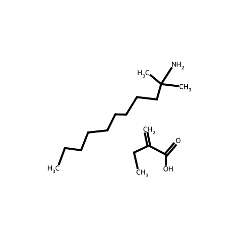 C=C(CC)C(=O)O.CCCCCCCCCC(C)(C)N